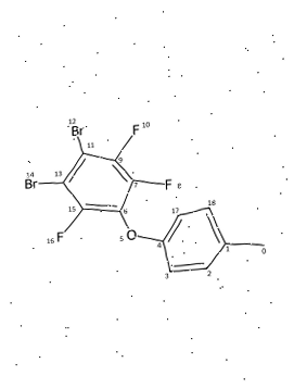 Cc1ccc(Oc2c(F)c(F)c(Br)c(Br)c2F)cc1